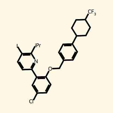 CC(C)c1nc(-c2cc(Cl)ccc2OCc2ccc(C3CCC(C(F)(F)F)CC3)cc2)ccc1I